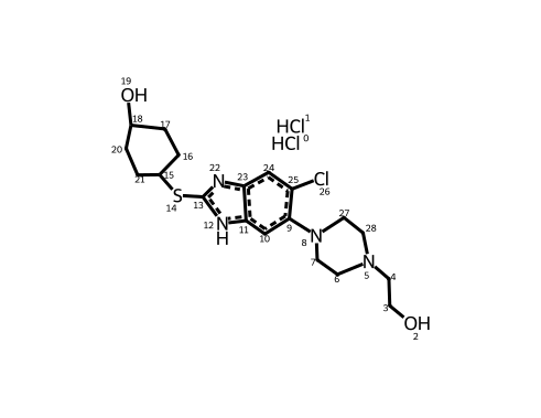 Cl.Cl.OCCN1CCN(c2cc3[nH]c(SC4CCC(O)CC4)nc3cc2Cl)CC1